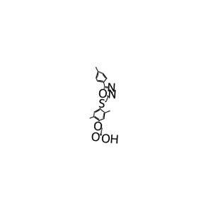 Cc1ccc(-c2nnc(CSc3cc(C)c(OCC(=O)O)cc3C)o2)cc1